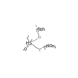 CCCCCCCCCC[SH](C)(=O)CCCCCCCCCC